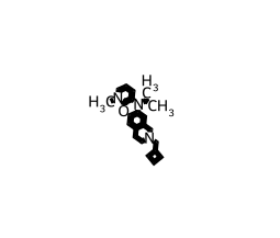 CC(C)N(c1ccc2c(c1)CN(CC1CCC1)CC2)c1cccn(C)c1=O